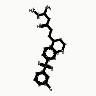 CNC(C)CC(=N)CCC1CCOc2cc(S(=O)(=O)c3cccc(F)c3)ccc21